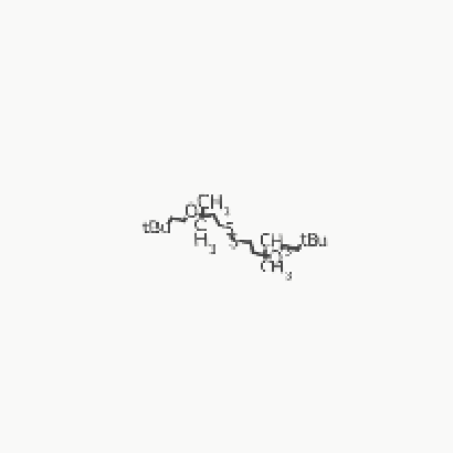 CC(C)(C)CCOC(C)(C)CCSSCCC(C)(C)OCCC(C)(C)C